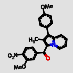 COc1ccc(-c2c(C)c(C(=O)c3ccc([N+](=O)[O-])c(OC)c3)n3ccccc23)cc1